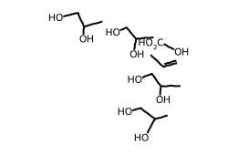 C=CC.CC(O)CO.CC(O)CO.CC(O)CO.CC(O)CO.O=C(O)O